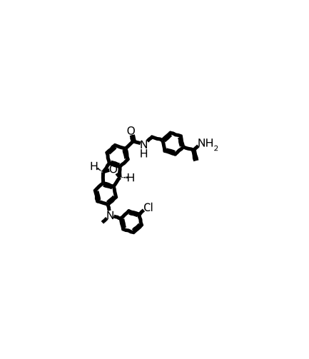 C=C(N)c1ccc(CNC(=O)c2ccc3c(c2)[C@@H]2O[C@H]3c3ccc(N(C)c4cccc(Cl)c4)cc32)cc1